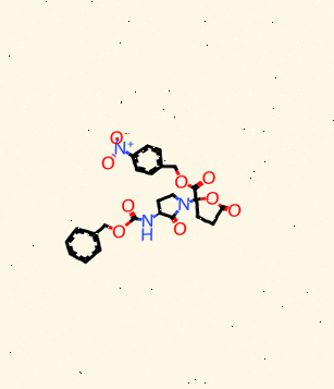 O=C1CCC(C(=O)OCc2ccc([N+](=O)[O-])cc2)(N2CC[C@H](NC(=O)OCc3ccccc3)C2=O)O1